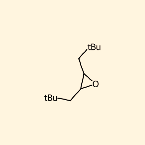 CC(C)(C)CC1OC1CC(C)(C)C